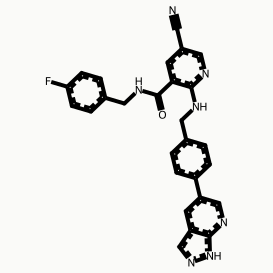 N#Cc1cnc(NCc2ccc(-c3cnc4[nH]ncc4c3)cc2)c(C(=O)NCc2ccc(F)cc2)c1